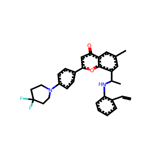 C=Cc1ccccc1NC(C)c1cc(C)cc2c(=O)cc(-c3ccc(N4CCC(F)(F)CC4)cc3)oc12